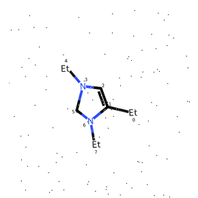 CCC1=CN(CC)[CH]N1CC